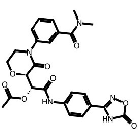 CC(=O)O[C@@H](C(=O)Nc1ccc(-c2noc(=O)[nH]2)cc1)[C@H]1OCCN(c2cccc(C(=O)N(C)C)c2)C1=O